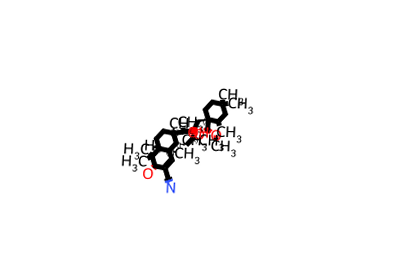 COC(=O)[C@]1(CCC(C)(C)[C@]2(C)CC[C@H]3C(C)(C)C(=O)C(C#N)=C[C@]3(C)[C@H]2C[C@@H](C)O)CCC(C)(C)CC1C